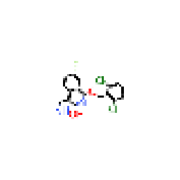 N=Cc1c(O)nc(OCc2c(Cl)cccc2Cl)c2cc(F)ccc12